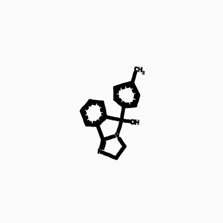 Cc1ccc(C2(O)c3ccccc3C3=NCCN32)cc1